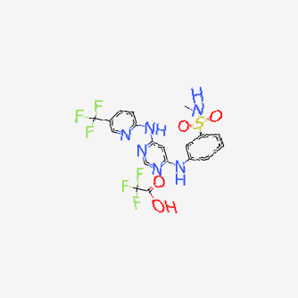 CNS(=O)(=O)c1cccc(Nc2cc(Nc3ccc(C(F)(F)F)cn3)ncn2)c1.O=C(O)C(F)(F)F